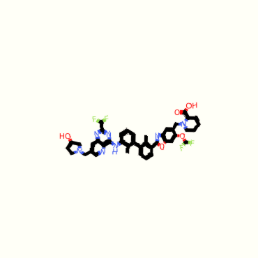 Cc1c(Nc2nc(C(F)F)nc3cc(CN4CCC(O)C4)cnc23)cccc1-c1cccc(-c2nc3cc(CN4CCCCC4C(=O)O)c(OC(F)F)cc3o2)c1C